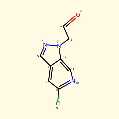 O=CCn1ncc2cc(Cl)ncc21